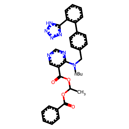 CCCCN(Cc1ccc(-c2ccccc2-c2nnn[nH]2)cc1)c1ncncc1C(=O)OC(C)OC(=O)c1ccccc1